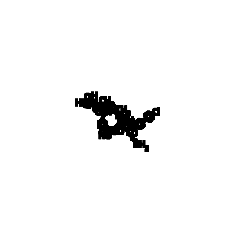 C[C@H](NC(=O)[C@@H]1Cc2ccc(O)c(c2)-c2cc(ccc2O)[C@H](N(C)C(=O)[C@H](CCCCN)NC(=O)c2ccc(-c3ccc(Cl)cc3)cc2)C(=O)N[C@@H](C)C(=O)N1)C(=O)N[C@H]1CCNC1=O